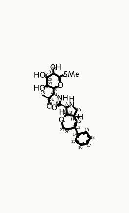 CSC1OC([C@H](NC(=O)[C@H]2NC[C@@H]3C=C(c4ccccc4)CCO[C@@H]23)[C@H](C)Cl)C(O)C(O)C1O